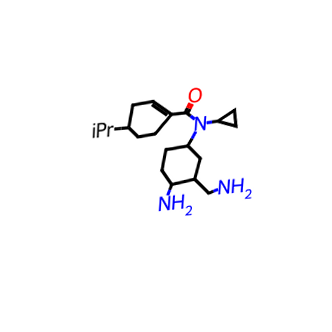 CC(C)C1CC=C(C(=O)N(C2CC2)C2CCC(N)C(CN)C2)CC1